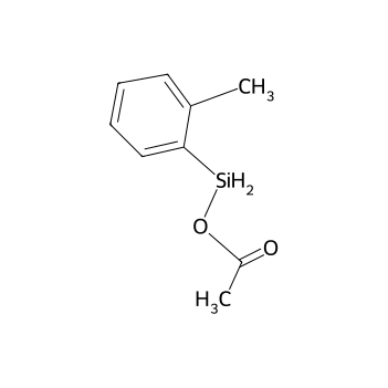 CC(=O)O[SiH2]c1ccccc1C